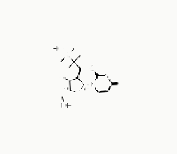 CC(C)(CC1C(O)[C@@H](CO)O[C@H]1n1ccc(=O)[nH]c1=O)[Si](C)(C)O